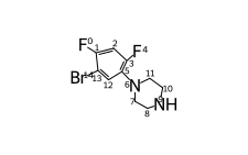 Fc1cc(F)c(N2CCNCC2)cc1Br